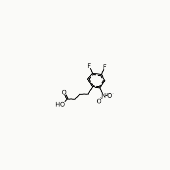 O=C(O)CCCc1cc(F)c(F)cc1[N+](=O)[O-]